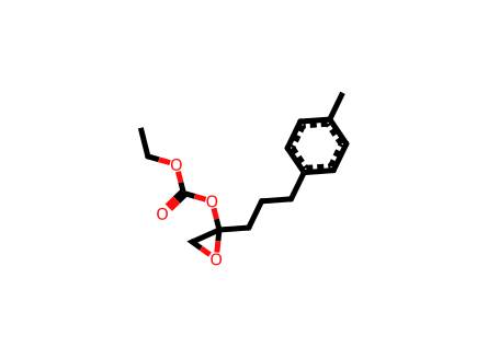 CCOC(=O)OC1(CCCc2ccc(C)cc2)CO1